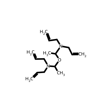 C=CCN(CC=C)C(C)OC(C)N(CC=C)CC=C